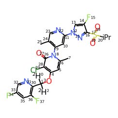 [2H]C([2H])(Oc1cc(C)n(-c2cc(-n3cc(F)c(S(=O)(=O)C(C)C)n3)ncc2C)c(=O)c1Cl)c1ncc(F)cc1F